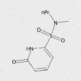 CCCN(C)S(=O)(=O)c1cccc(=O)[nH]1